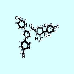 C[C@@H]1CN(C(=O)[C@@H]2CN(c3ccc(C#N)nn3)C[C@H]2c2ccc(Cl)cn2)C[C@H](C)[C@@]1(O)c1ccc(F)cc1